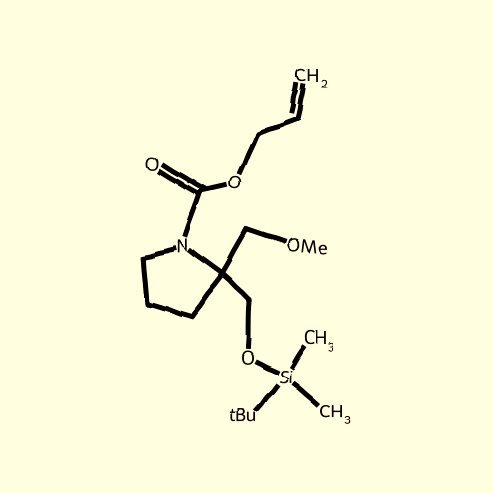 C=CCOC(=O)N1CCCC1(COC)CO[Si](C)(C)C(C)(C)C